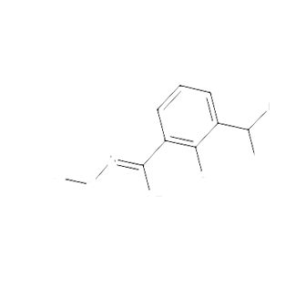 C/C(=N\SC(C)(C)C)c1cccc(C(F)F)c1F